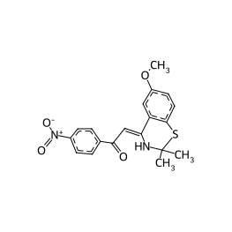 COc1ccc2c(c1)C(=CC(=O)c1ccc([N+](=O)[O-])cc1)NC(C)(C)S2